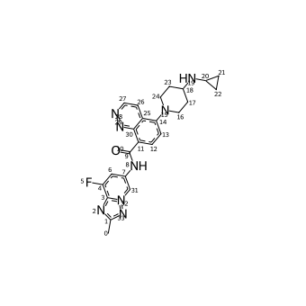 Cc1nc2c(F)cc(NC(=O)c3ccc(N4CCC(NC5CC5)CC4)c4ccnnc34)cn2n1